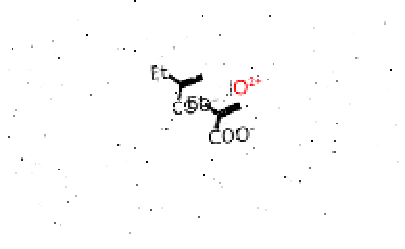 C=C(CC)C(=O)[O-].C=C(CC)C(=O)[O-].[O+2]